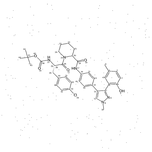 Cc1ccc(O)c(-c2nn(C)cc2-c2ccc(NC(=O)C3CCCCN3C(=O)[C@H](Cc3ccc(Cl)cc3)NC(=O)OC(C)(C)C)cc2)c1